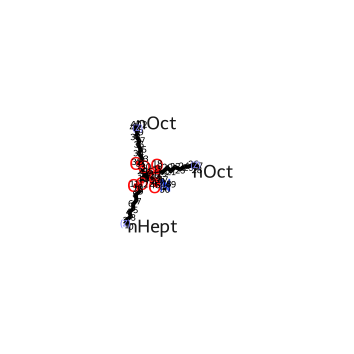 CCCCCCC/C=C\CCCCCCCC(=O)OCC(COC(=O)CCCCCCC/C=C\CCCCCCCC)(COC(=O)CCCCCCC/C=C\CCCCCCCC)COC(=O)CN(C)C